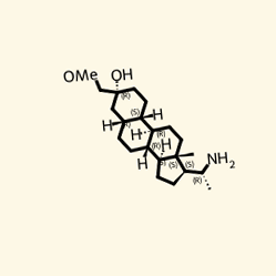 COC[C@@]1(O)CC[C@H]2[C@H](CC[C@@H]3[C@@H]2CC[C@]2(C)[C@@H]([C@@H](C)N)CC[C@@H]32)C1